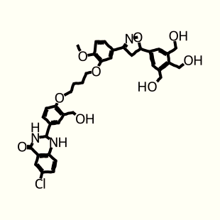 COc1ccc(C2=NOC(c3cc(CO)c(CO)c(CO)c3)C2)cc1OCCCCOc1ccc(C2NC(=O)c3cc(Cl)ccc3N2)cc1CO